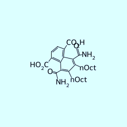 CCCCCCCCc1c(CCCCCCCC)c(C(N)=O)c2c(C(=O)O)ccc(C(=O)O)c2c1C(N)=O